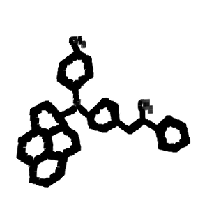 C/C(=C\c1ccc(N(c2ccc(C)cc2)c2ccc3ccc4cccc5ccc2c3c45)cc1)c1ccccc1